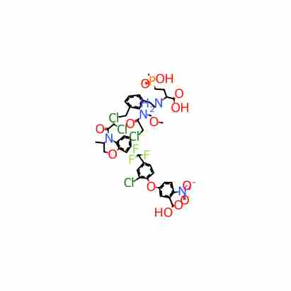 CC1COc2ccccc2N1C(=O)C(Cl)Cl.CCc1cccc(CC)c1N(COC)C(=O)CCl.CP(=O)(O)CCC(N)C(=O)O.O=C(O)c1cc(Oc2ccc(C(F)(F)F)cc2Cl)ccc1[N+](=O)[O-]